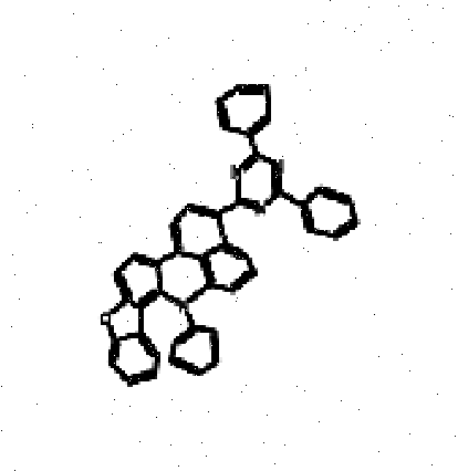 c1ccc(-c2nc(-c3ccccc3)nc(-c3ccc4c5c(cccc35)N(c3ccccc3)c3c-4ccc4oc5ccccc5c34)n2)cc1